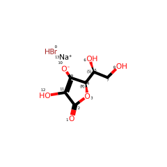 Br.O=C1O[C@H]([C@@H](O)CO)C([O-])=C1O.[Na+]